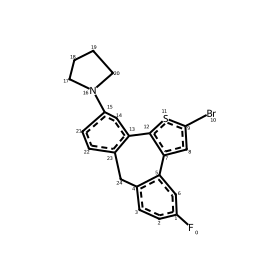 Fc1ccc2c(c1)-c1cc(Br)sc1-c1cc(N3CCCC3)ccc1C2